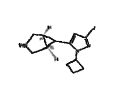 Ic1cc(C2[C@H]3CNC[C@@H]23)n(C2CCC2)n1